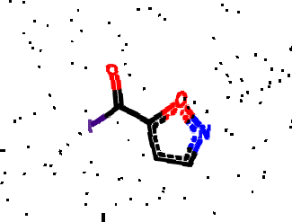 O=C(I)c1ccno1